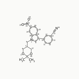 CC1(C)OCC(Cn2cc(-c3cccc(C#N)c3)c3ccc([N+](=O)[O-])cc32)CO1